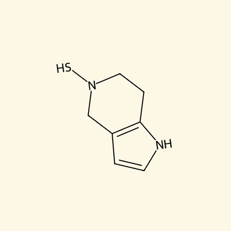 SN1CCc2[nH]ccc2C1